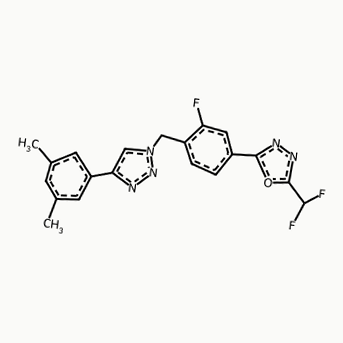 Cc1cc(C)cc(-c2cn(Cc3ccc(-c4nnc(C(F)F)o4)cc3F)nn2)c1